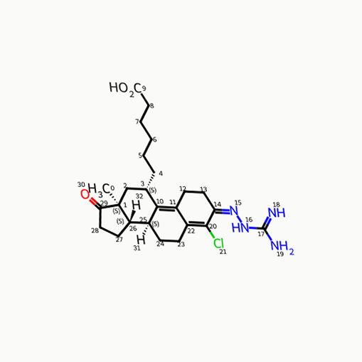 C[C@]12C[C@H](CCCCCC(=O)O)C3=C4CCC(=NNC(=N)N)C(Cl)=C4CC[C@H]3[C@@H]1CCC2=O